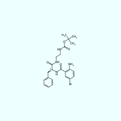 CC(C)(C)OC(=O)NCCNC(=O)[C@H](Cc1ccccc1)NC(=O)c1cc(Br)ccc1N